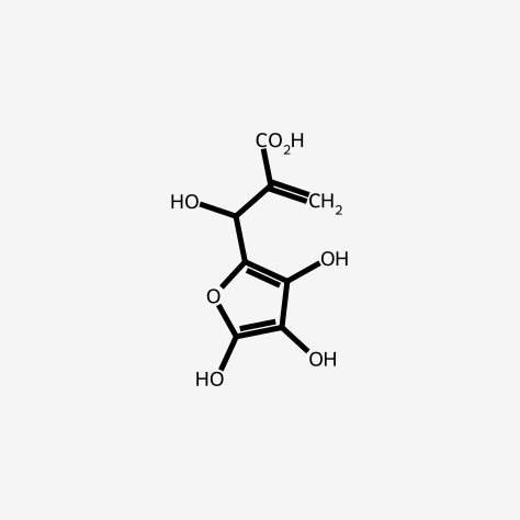 C=C(C(=O)O)C(O)c1oc(O)c(O)c1O